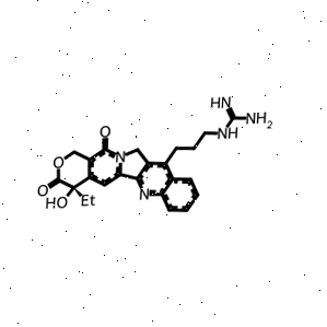 CC[C@@]1(O)C(=O)OCc2c1cc1n(c2=O)Cc2c-1nc1ccccc1c2CCCNC(=N)N